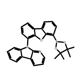 CC1(C)OB(c2cccc3c2oc2c(-n4c5ccccc5c5cccnc54)cccc23)OC1(C)C